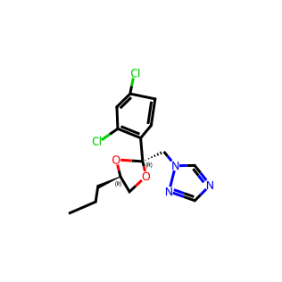 CCC[C@@H]1CO[C@](Cn2cncn2)(c2ccc(Cl)cc2Cl)O1